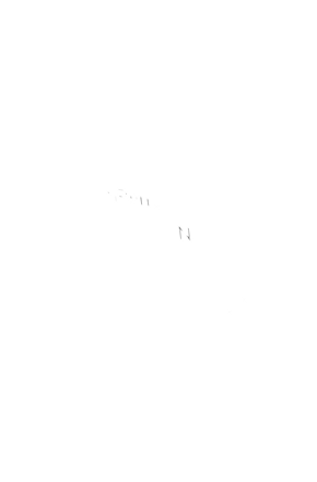 CCCCCC=NC(C)c1ccc2ccccc2c1